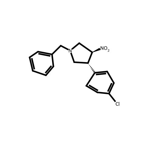 O=[N+]([O-])[C@@H]1CN(Cc2ccccc2)C[C@H]1c1ccc(Cl)cc1